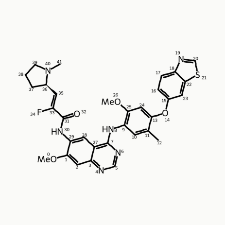 COc1cc2ncnc(Nc3cc(C)c(Oc4ccc5ncsc5c4)cc3OC)c2cc1NC(=O)/C(F)=C/[C@H]1CCCN1C